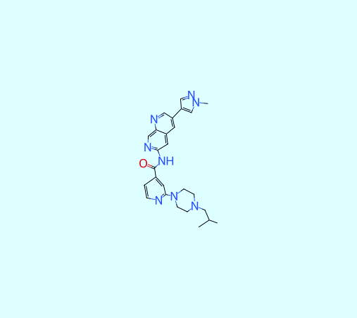 CC(C)CN1CCN(c2cc(C(=O)Nc3cc4cc(-c5cnn(C)c5)cnc4cn3)ccn2)CC1